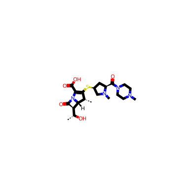 C[C@@H](O)[C@H]1C(=O)N2C(C(=O)O)=C(S[C@H]3C[C@@H](C(=O)N4CCN(C)CC4)N(C)C3)[C@H](C)[C@H]12